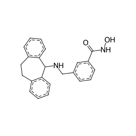 O=C(NO)c1cccc(CNC2c3ccccc3CCc3ccccc32)c1